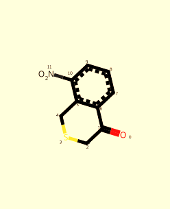 O=C1[CH]SCc2c1cccc2[N+](=O)[O-]